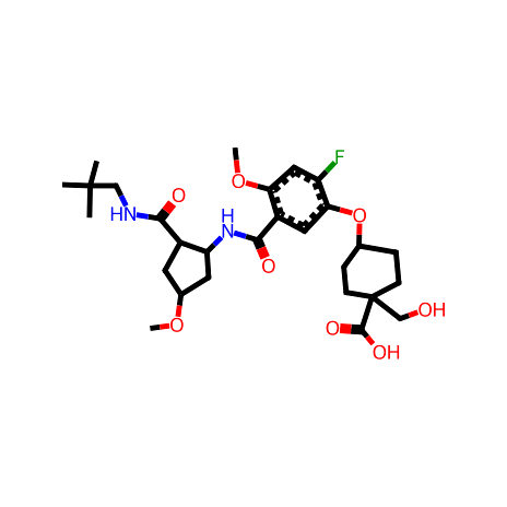 COc1cc(F)c(OC2CCC(CO)(C(=O)O)CC2)cc1C(=O)NC1CC(OC)CC1C(=O)NCC(C)(C)C